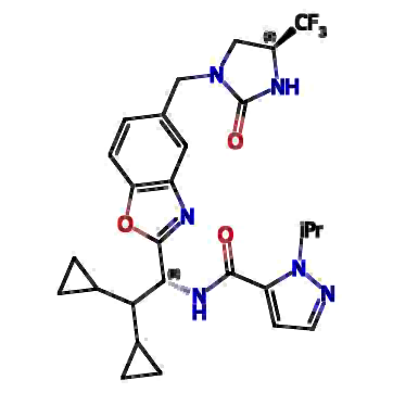 CC(C)n1nccc1C(=O)N[C@@H](c1nc2cc(CN3C[C@@H](C(F)(F)F)NC3=O)ccc2o1)C(C1CC1)C1CC1